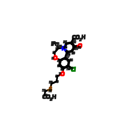 CC(C)[C@@H]1COc2cc(OCCCSCC(=O)O)c(Cl)cc2-c2cc(=O)c(C(=O)O)cn21